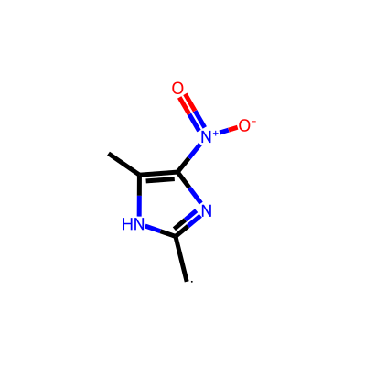 [CH2]c1nc([N+](=O)[O-])c(C)[nH]1